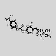 CC(C)(C)OC(=O)Cc1ccc(OC(=O)Oc2ccc([N+](=O)[O-])cc2)cc1F